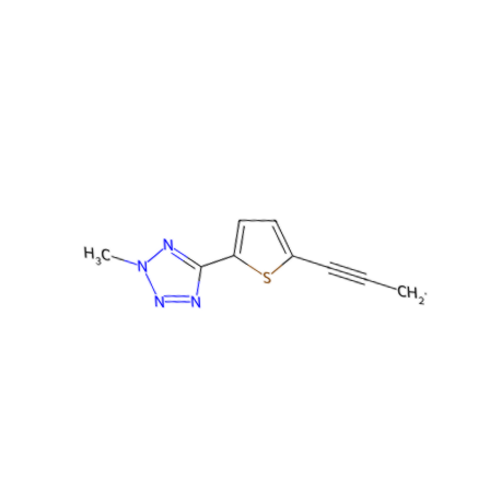 [CH2]C#Cc1ccc(-c2nnn(C)n2)s1